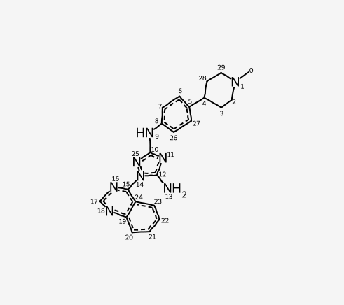 CN1CCC(c2ccc(Nc3nc(N)n(-c4ncnc5ccccc45)n3)cc2)CC1